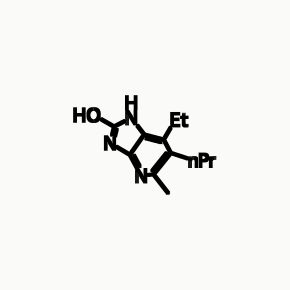 CCCc1c(C)nc2nc(O)[nH]c2c1CC